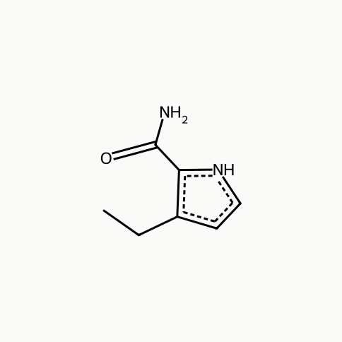 CCc1cc[nH]c1C(N)=O